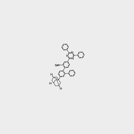 N#Cc1cc(-c2nc(-c3ccccc3)nc(-c3ccccc3)n2)ccc1-c1ccc(C23C[C@H]4C[C@@H](C2)C[C@@H](C3)C4)cc1-c1ccccc1